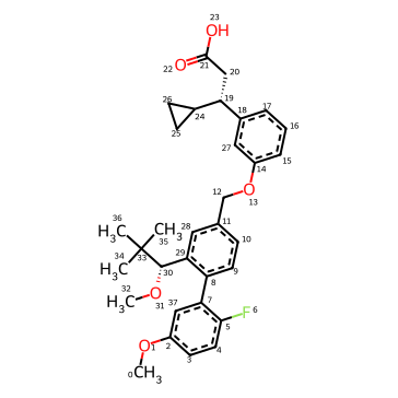 COc1ccc(F)c(-c2ccc(COc3cccc([C@@H](CC(=O)O)C4CC4)c3)cc2[C@H](OC)C(C)(C)C)c1